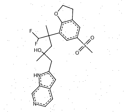 CC(O)(Cc1cc2ccncc2[nH]1)CC(C)(c1cc(S(C)(=O)=O)cc2c1OCC2)C(F)F